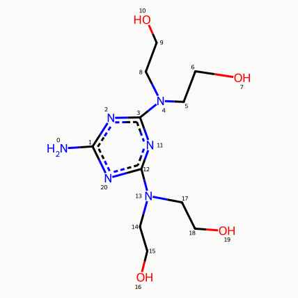 Nc1nc(N(CCO)CCO)nc(N(CCO)CCO)n1